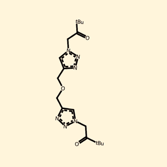 CC(C)(C)C(=O)Cn1cc(COCc2cn(CC(=O)C(C)(C)C)nn2)nn1